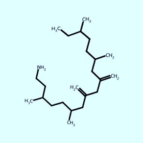 C=C(CC(=C)CC(C)CCC(C)CCN)CC(C)CCC(C)CC